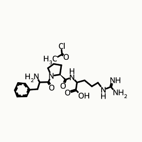 CC(=O)Cl.N=C(N)NCCCC(NC(=O)[C@@H]1CCCN1C(=O)C(N)Cc1ccccc1)C(=O)O